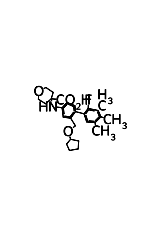 Cc1cc(-c2ccc(NC3(C(=O)O)CCOCC3)cc2COC2CCCC2)c(F)c(C)c1C